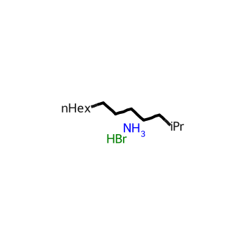 Br.CCCCCCCCCCCC(C)C.N